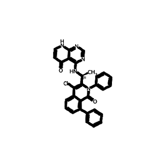 C[C@H](Nc1ncnc2[nH]ccc(=O)c12)c1c(Cl)c2cccc(-c3ccccc3)c2c(=O)n1-c1ccccc1